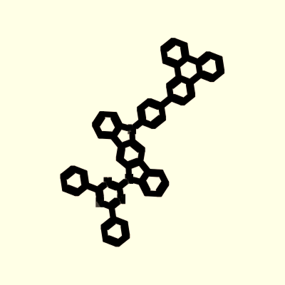 c1ccc(-c2nc(-c3ccccc3)nc(-n3c4ccccc4c4cc5c(cc43)c3ccccc3n5-c3ccc(-c4ccc5c6ccccc6c6ccccc6c5c4)cc3)n2)cc1